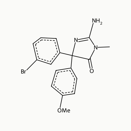 COc1ccc(C2(c3cccc(Br)c3)N=C(N)N(C)C2=O)cc1